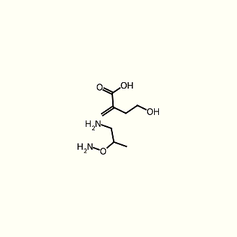 C=C(CCO)C(=O)O.CC(CN)ON